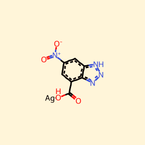 O=C(O)c1cc([N+](=O)[O-])cc2[nH]nnc12.[Ag]